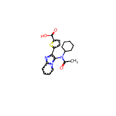 CC(=O)N(c1c(-c2ccc(C(=O)O)s2)nc2ccccn12)C1CCCCC1